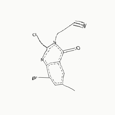 Cc1cc(Br)c2nc(Cl)n(CC#N)c(=O)c2c1